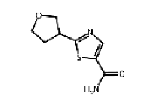 NC(=O)c1cnc(C2CCOC2)s1